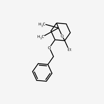 CCC12CCC(CC1OCc1ccccc1)C(C)(C)O2